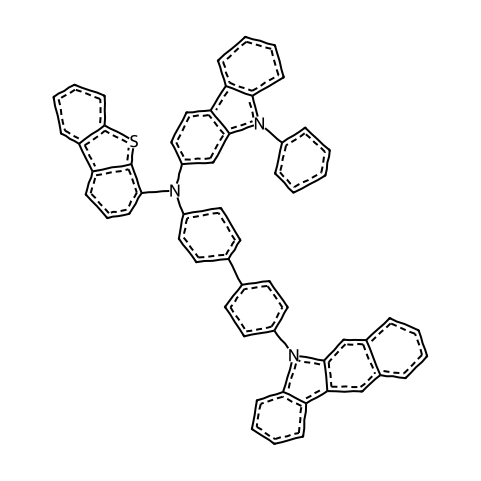 c1ccc(-n2c3ccccc3c3ccc(N(c4ccc(-c5ccc(-n6c7ccccc7c7cc8ccccc8cc76)cc5)cc4)c4cccc5c4sc4ccccc45)cc32)cc1